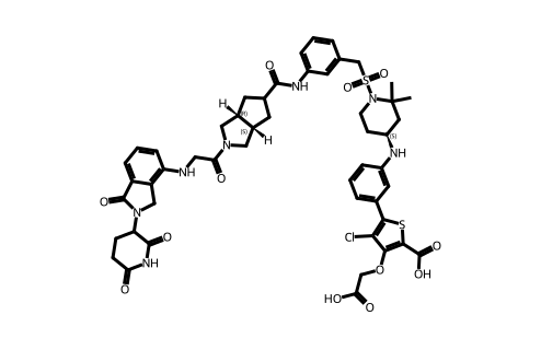 CC1(C)C[C@@H](Nc2cccc(-c3sc(C(=O)O)c(OCC(=O)O)c3Cl)c2)CCN1S(=O)(=O)Cc1cccc(NC(=O)C2C[C@@H]3CN(C(=O)CNc4cccc5c4CN(C4CCC(=O)NC4=O)C5=O)C[C@@H]3C2)c1